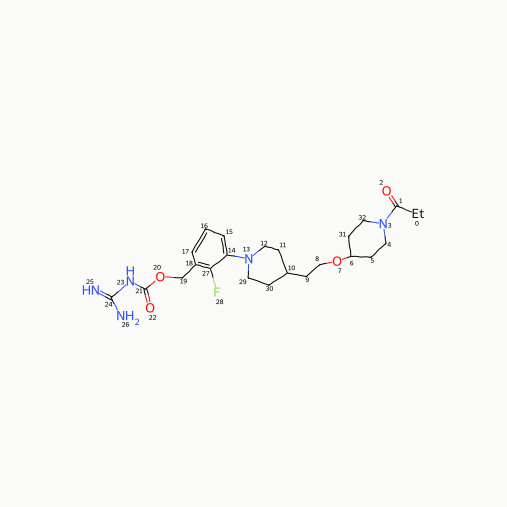 CCC(=O)N1CCC(OCCC2CCN(c3cccc(COC(=O)NC(=N)N)c3F)CC2)CC1